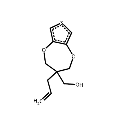 C=CCC1(CO)COc2cscc2OC1